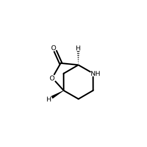 O=C1O[C@H]2CCN[C@H]1C2